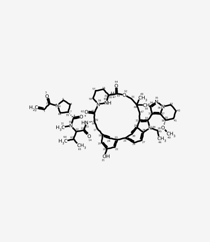 C=CC(=O)N1CC[C@H](C(=O)N(C)C(C(=O)N[C@H]2Cc3cc(O)cc(c3)-c3ccc4c(c3)c(c(-c3cnn5c3[C@@H](OC)CCC5)n4CC)CC(C)(C)COC(=O)[C@@H]3CCCN(N3)C2=O)C(C)C)C1